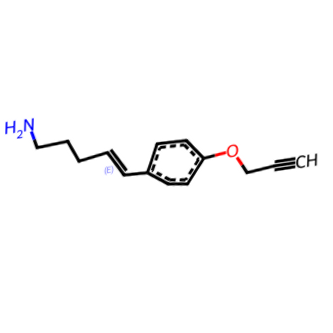 C#CCOc1ccc(/C=C/CCCN)cc1